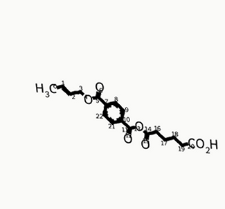 CC=CCOC(=O)c1ccc(C(=O)OC(=O)CCCCC(=O)O)cc1